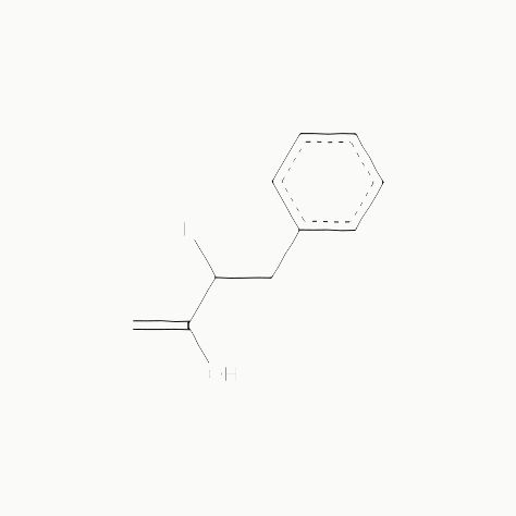 C=C(O)C(F)Cc1ccccc1